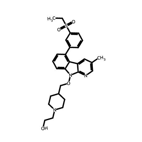 CCS(=O)(=O)c1cccc(-c2cccc3c2c2cc(C)cnc2n3OCC2CCN(CCO)CC2)c1